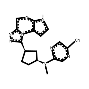 CN(c1cnc(C#N)cn1)[C@H]1CC[C@@H](c2nnc3cnc4[nH]ccc4n23)C1